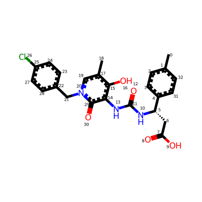 Cc1ccc([C@H](CC(=O)O)NC(=O)Nc2c(O)c(C)cn(Cc3ccc(Cl)cc3)c2=O)cc1